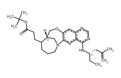 C=C(C)C[C@H](CC)Nc1ncnc2cc3c(nc12)N1CCCC(CCC(=O)OC(C)(C)C)[C@H](CO3)C1